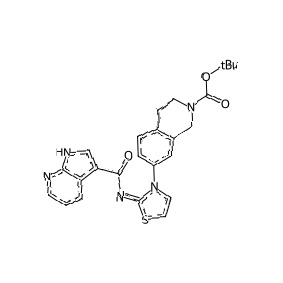 CC(C)(C)OC(=O)N1CCc2ccc(-n3ccs/c3=N/C(=O)c3c[nH]c4ncccc34)cc2C1